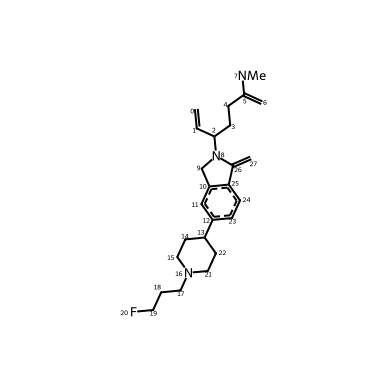 C=CC(CCC(=C)NC)N1Cc2cc(C3CCN(CCCF)CC3)ccc2C1=C